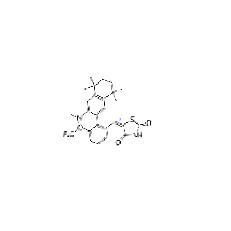 CN(C)c1cc2c(cc1-c1c(/C=C3/SC(=O)NC3=O)cccc1OC(F)(F)F)C(C)(C)CCC2(C)C